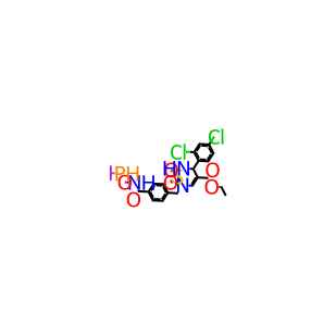 CCOC(=O)C1=CN(Cc2ccc(C(=O)NOPI)cc2)S(=O)(=O)NC1c1ccc(Cl)cc1Cl